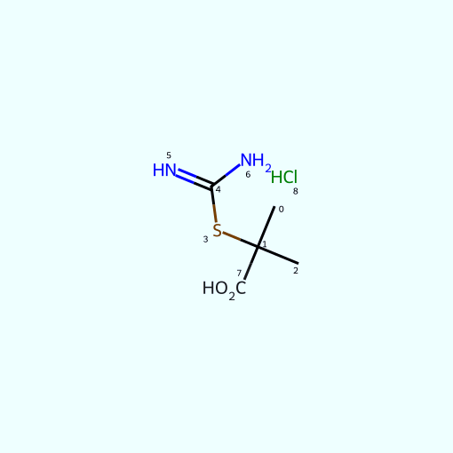 CC(C)(SC(=N)N)C(=O)O.Cl